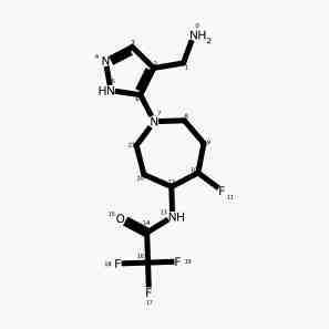 NCc1cn[nH]c1N1CCC(F)C(NC(=O)C(F)(F)F)CC1